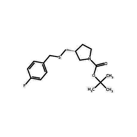 CC(C)(C)OC(=O)N1CC[C@@H](CSCc2ccc(F)cc2)C1